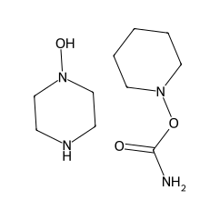 NC(=O)ON1CCCCC1.ON1CCNCC1